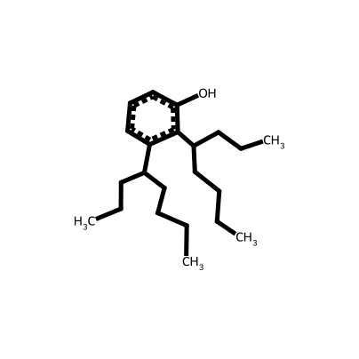 CCCCC(CCC)c1cccc(O)c1C(CCC)CCCC